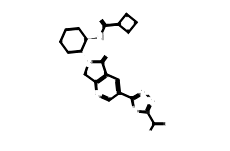 O=C(N[C@@H]1CCCC[C@H]1N1Cc2ncc(-c3nnc(C(F)F)o3)cc2C1=O)C1CCC1